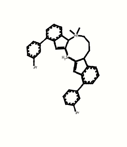 CC(C)c1cccc(-c2cccc3c2C=C2[SiH2]C4=Cc5c(-c6cccc(C(C)C)c6)cccc5[CH]4[Hf]([CH3])([CH3])[CH2]CCC23)c1